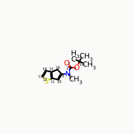 CN(C(=O)OC(C)(C)C)C1=Cc2sccc2C1